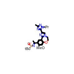 COc1cc2c(cc1/C(C)=N/[S+]([O-])C(C)(C)C)-c1nc(-c3nc(C)nn3C(C)C)cn1CCO2